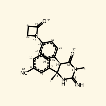 CN1C(=N)N[C@](C)(c2cccc(C#N)c2)[C@@H](c2ccc(N3CCC3=O)cc2)C1=O